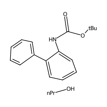 CC(C)(C)OC(=O)Nc1ccccc1-c1ccccc1.CCCO